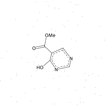 COC(=O)c1cncnc1O